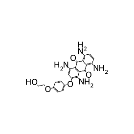 Nc1ccc(N)c2c1C(=O)c1c(N)cc(Oc3ccc(OCCO)cc3)c(N)c1C2=O